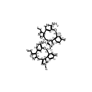 CCc1noc2c1-c1cnc(N)c(c1)O[C@H](C)c1cc(F)ccc1-c1n[n+](C[C@H]3Oc4cc(cnc4N)-c4c(noc4CC)Cc4cn(C)nc4-c4ccc(F)cc43)cn1C2